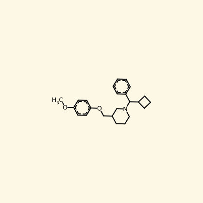 COc1ccc(OCC2CCCN(C(c3ccccc3)C3CCC3)C2)cc1